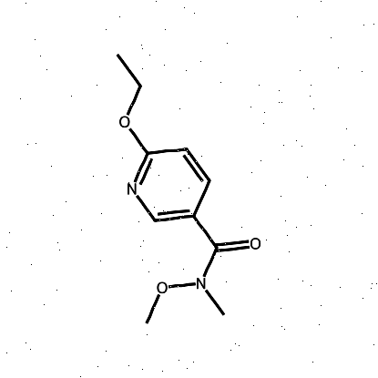 CCOc1ccc(C(=O)N(C)OC)cn1